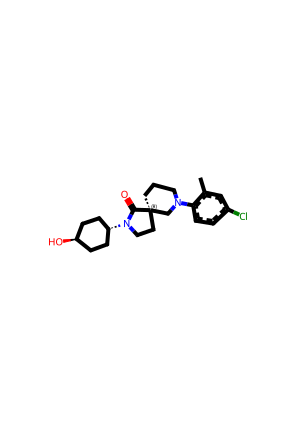 Cc1cc(Cl)ccc1N1CCC[C@@]2(CCN([C@H]3CC[C@H](O)CC3)C2=O)C1